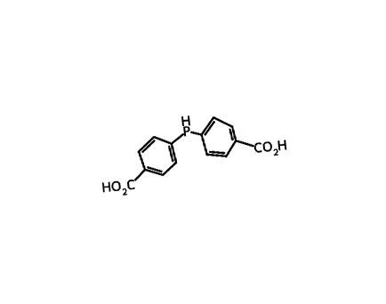 O=C(O)c1ccc(Pc2ccc(C(=O)O)cc2)cc1